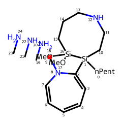 CCCCC[Si]1(C2=CC=CC=CN2C)CCNCCC[Si]1(OC)OC.CN.CN.CN